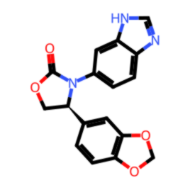 O=C1OC[C@H](c2ccc3c(c2)OCO3)N1c1ccc2nc[nH]c2c1